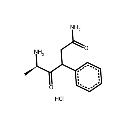 C[C@@H](N)C(=O)C(CC(N)=O)c1ccccc1.Cl